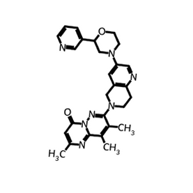 Cc1cc(=O)n2nc(N3CCc4ncc(N5CCOC(c6cccnc6)C5)cc4C3)c(C)c(C)c2n1